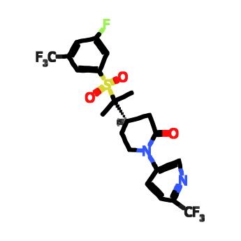 CC(C)([C@H]1CCN(c2ccc(C(F)(F)F)nc2)C(=O)C1)S(=O)(=O)c1cc(F)cc(C(F)(F)F)c1